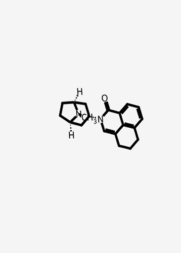 CN1[C@@H]2CC[C@H]1C[C@H](n1cc3c4c(cccc4c1=O)CCC3)C2